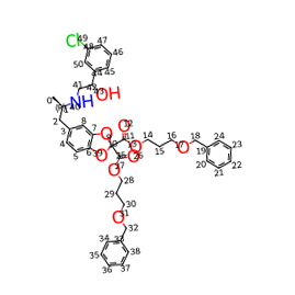 C[C@H](Cc1ccc2c(c1)OC(C(=O)OCCCOCc1ccccc1)(C(=O)OCCCOCc1ccccc1)O2)NCC(O)c1cccc(Cl)c1